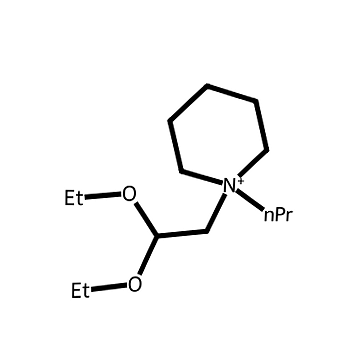 CCC[N+]1(CC(OCC)OCC)CCCCC1